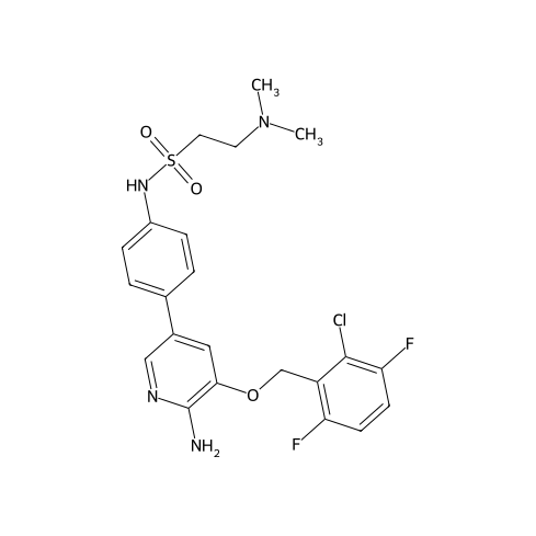 CN(C)CCS(=O)(=O)Nc1ccc(-c2cnc(N)c(OCc3c(F)ccc(F)c3Cl)c2)cc1